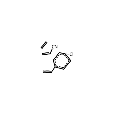 C=C.C=CC#N.C=Cc1ccccc1.Cl